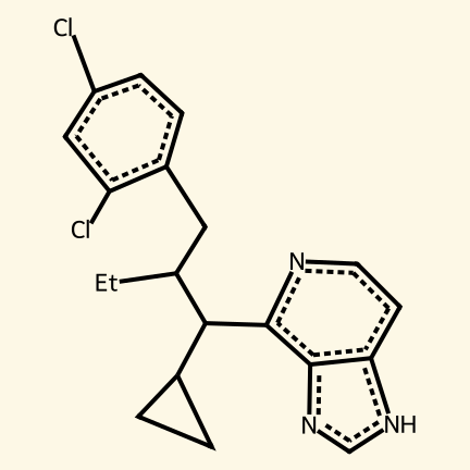 CCC(Cc1ccc(Cl)cc1Cl)C(c1nccc2[nH]cnc12)C1CC1